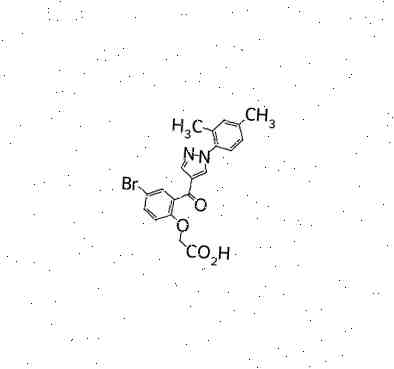 Cc1ccc(-n2cc(C(=O)c3cc(Br)ccc3OCC(=O)O)cn2)c(C)c1